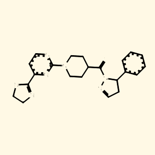 O=C(C1CCN(c2nccc(C3=NCCN3)n2)CC1)N1N=CCC1c1ccccc1